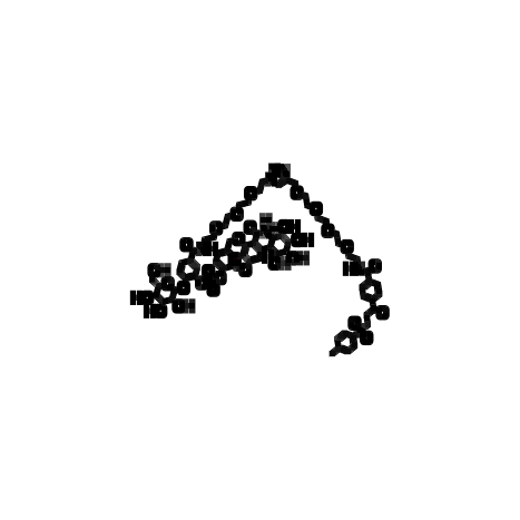 Cc1ccc(S(=O)(=O)CCC(=O)c2ccc(C(=O)NCCOCCOCCOCCOCc3cn(CCOCCOCCOCCNC(=O)c4ccc(O[C@@H]5O[C@H](CO)[C@H](O)[C@H](O)[C@H]5O)c(OS(=O)(=O)Oc5ccc(COc6c7c(cc8c6C(=O)N[C@H]6[C@H](O)[C@H](O)[C@@H](O)[C@H](O)[C@H]86)OCO7)cc5)c4)nn3)cc2)cc1